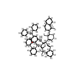 CC1=C(c2ccc3ccccc3c2C)CCC=C1C1=C2\Bc3cc(N(c4ccccc4)c4ccccc4)ccc3N(c3ccccc3-c3ccccc3)\C2=C(\C)C(C)(C)c2ccccc2\C=C\1